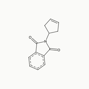 O=C1c2ccccc2C(=O)N1C1CC=CC1